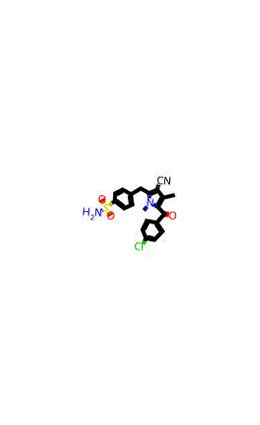 Cc1c(C#N)c(Cc2ccc(S(N)(=O)=O)cc2)n(C)c1C(=O)c1ccc(Cl)cc1